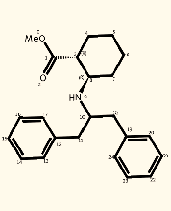 COC(=O)[C@@H]1CCCC[C@H]1NC(Cc1ccccc1)Cc1ccccc1